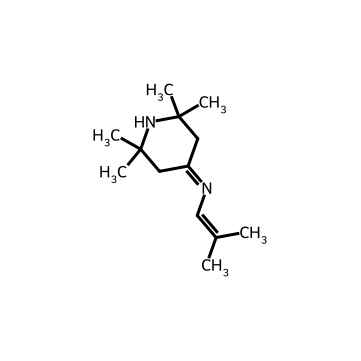 CC(C)=CN=C1CC(C)(C)NC(C)(C)C1